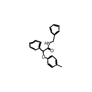 Cc1ccc(OC(C(=O)NCc2ccccc2)c2ccccc2)cc1